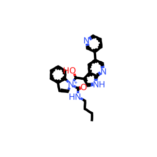 CCCCNC(=O)[N+]1(C(O)c2c[nH]c3ncc(-c4cccnc4)cc23)C=Cc2ccccc21